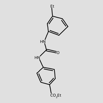 CCOC(=O)c1ccc(NC(=O)Nc2cccc(CC)c2)cc1